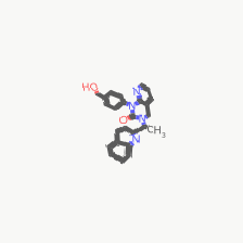 CC(c1ccc2ccccc2n1)N1Cc2cccnc2N(c2ccc(CO)cc2)C1=O